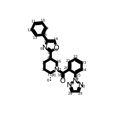 C[C@@H]1CCC(c2nc(-c3ccccc3)co2)CN1C(=O)c1ccccc1-n1nccn1